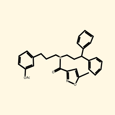 CC(=O)Oc1cccc(CCCN(CCC(c2ccccc2)c2ccccc2)C(=O)c2cc(C)on2)c1